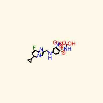 O=C(O)NS(=O)(=O)c1ccc(NCc2cn3cc(C4CC4)cc(F)c3n2)cc1[N+](=O)[O-]